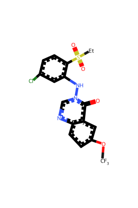 CCS(=O)(=O)c1ccc(Cl)cc1Nn1cnc2ccc(OC(F)(F)F)cc2c1=O